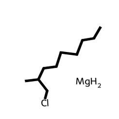 CCCCCCCC(C)CCl.[MgH2]